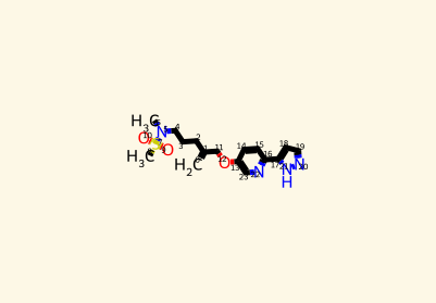 C=C(CCCN(C)S(C)(=O)=O)COc1ccc(-c2ccn[nH]2)nc1